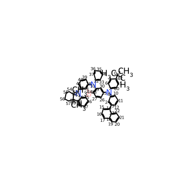 CC(C)(C)c1ccc(N(c2cccc(-c3cccc4ccccc34)c2)c2ccc3c(c2)N(c2ccccc2)c2cccc4c2B3c2cccc3c2N4C2(C)CCCCC32C)cc1